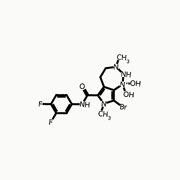 CN1CCc2c(c(Br)n(C)c2C(=O)Nc2ccc(F)c(F)c2)[N+](O)(O)N1